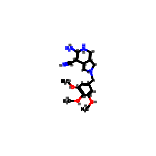 COc1cc(CN2C=C3C(=CNC(N)=C3C#N)C2)cc(OC)c1OC